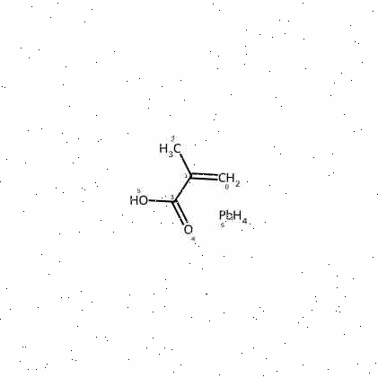 C=C(C)C(=O)O.[PbH4]